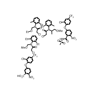 CCOCN(C(=O)CCl)c1c(C)cccc1CC.CCc1cccc(C)c1N(C(=O)CCl)C(C)COC.CCc1cccc(CC)c1N(COC)C(=O)CCl.CS(=O)(=O)NC(=O)c1cc(Oc2ccc(C(F)(F)F)cc2Cl)ccc1[N+](=O)[O-].O=C(O)c1cc(Oc2ccc(C(F)(F)F)cc2Cl)ccc1[N+](=O)[O-]